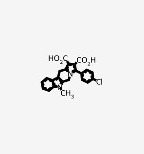 Cn1c2c(c3ccccc31)Cc1c(C(=O)O)c(C(=O)O)c(-c3ccc(Cl)cc3)n1C2